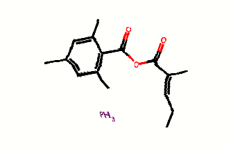 CCC=C(C)C(=O)OC(=O)c1c(C)cc(C)cc1C.P